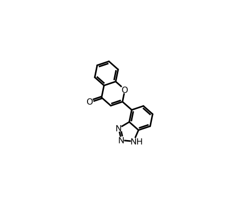 O=c1cc(-c2cccc3[nH]nnc23)oc2ccccc12